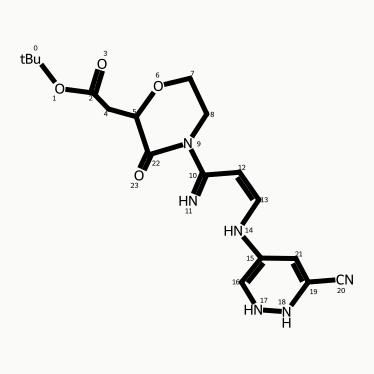 CC(C)(C)OC(=O)CC1OCCN(C(=N)/C=C\NC2=CNNC(C#N)=C2)C1=O